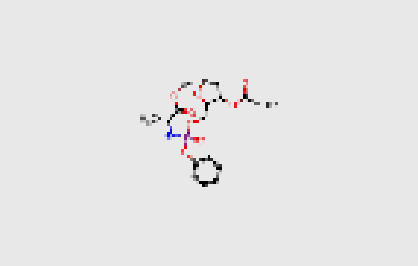 CCCCCCCCC(=O)OC1CCOC1CO[P@@](=O)(N[C@@H](C)C(=O)OC(C)C)Oc1ccccc1